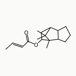 CC=CC(=O)OC1CC2C3CCCC3C1(C)C2(C)C